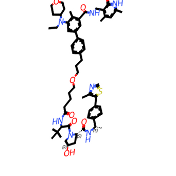 CCN(c1cc(-c2ccc(CCCOCCCCC(=O)NC(C(=O)N3C[C@H](O)C[C@H]3C(=O)N[C@@H](C)c3ccc(-c4scnc4C)cc3)C(C)(C)C)cc2)cc(C(=O)NCc2c(C)cc(C)[nH]c2=O)c1C)C1CCOCC1